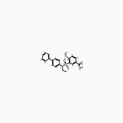 CCN(c1ccc(-c2ccccc2)cc1)S(=O)(=O)c1cc(C(=O)O)ccc1OC